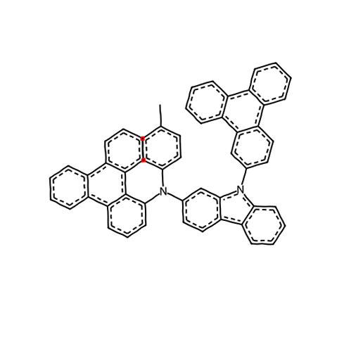 Cc1ccc(N(c2ccc3c4ccccc4n(-c4ccc5c6ccccc6c6ccccc6c5c4)c3c2)c2cccc3c4ccccc4c4ccccc4c23)cc1